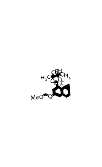 COCOc1cc2c(c(B3OC(C)(C)C(C)(C)O3)c1)C1(C)CC1CC2